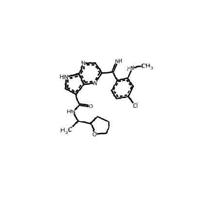 CNc1cc(Cl)ccc1C(=N)c1cnc2[nH]cc(C(=O)NC(C)C3CCCO3)c2n1